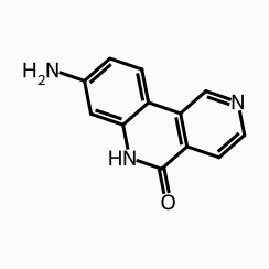 Nc1ccc2c(c1)[nH]c(=O)c1ccncc12